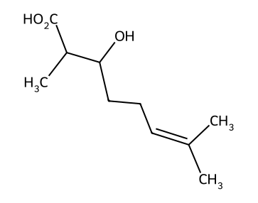 CC(C)=CCCC(O)C(C)C(=O)O